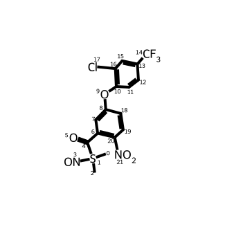 CS(C)(N=O)C(=O)c1cc(Oc2ccc(C(F)(F)F)cc2Cl)ccc1[N+](=O)[O-]